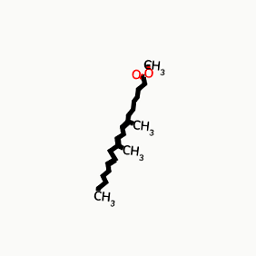 CCCCC/C=C/C/C(C)=C/C/C=C(\C)CCCCCCC(=O)OC